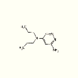 CCCN(CCC)c1cnnc(N)c1